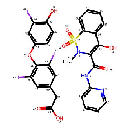 CN1C(C(=O)Nc2ccccn2)=C(O)c2ccccc2S1(=O)=O.O=C(O)Cc1cc(I)c(Oc2ccc(O)c(I)c2)c(I)c1